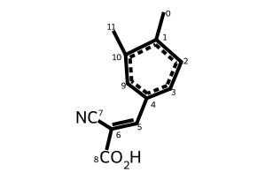 Cc1ccc(/C=C(\C#N)C(=O)O)cc1C